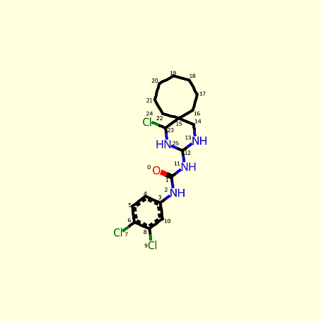 O=C(Nc1ccc(Cl)c(Cl)c1)NC1NCC2(CCCCCCC2)C(Cl)N1